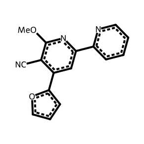 COc1nc(-c2ccccn2)cc(-c2ccco2)c1C#N